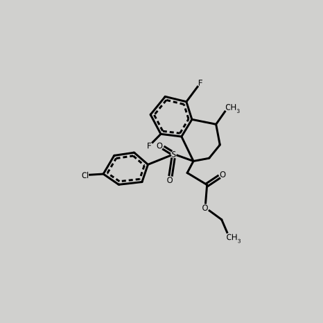 CCOC(=O)CC1(S(=O)(=O)c2ccc(Cl)cc2)CCC(C)c2c(F)ccc(F)c21